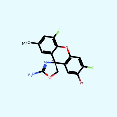 COc1cc(F)c2c(c1)[C@]1(COC(N)=N1)c1cc(Br)c(F)cc1O2